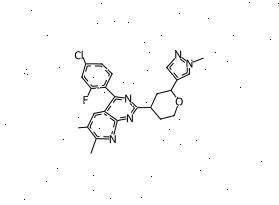 Cc1cc2c(-c3ccc(Cl)cc3F)nc(C3CCOC(c4cnn(C)c4)C3)nc2nc1C